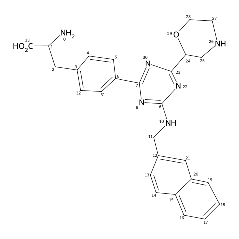 NC(Cc1ccc(-c2nc(NCc3ccc4ccccc4c3)nc(C3CNCCO3)n2)cc1)C(=O)O